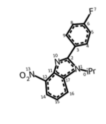 CC(C)n1c(-c2ccc(F)cc2)nc2c([N+](=O)[O-])cccc21